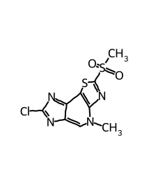 Cn1cc2nc(Cl)nc-2c2sc(S(C)(=O)=O)nc21